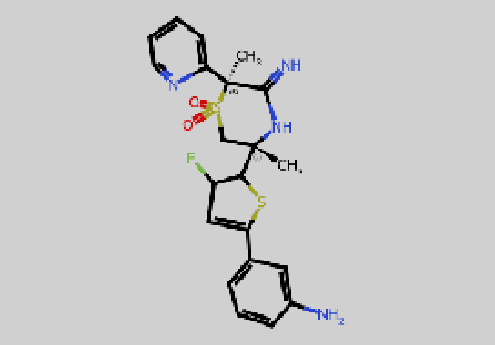 C[C@@]1(C2SC(c3cccc(N)c3)=CC2F)CS(=O)(=O)[C@@](C)(c2ccccn2)C(=N)N1